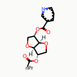 CCCC(=O)O[C@H]1CO[C@H]2[C@@H]1OC[C@H]2OC(=O)c1cccnc1